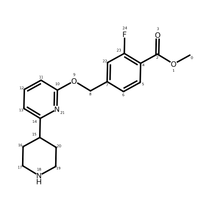 COC(=O)c1ccc(COc2cccc(C3CCNCC3)n2)cc1F